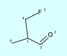 CC([C]=O)CF